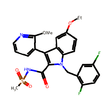 CCOc1ccc2c(c1)c(-c1cccnc1OC)c(C(=O)NS(C)(=O)=O)n2Cc1cc(F)ccc1F